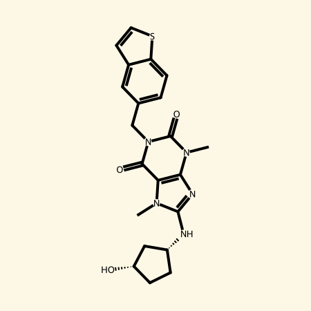 Cn1c(N[C@@H]2CC[C@H](O)C2)nc2c1c(=O)n(Cc1ccc3sccc3c1)c(=O)n2C